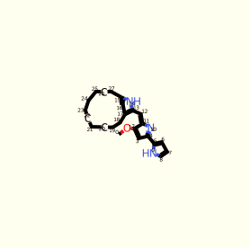 COC1=CC(c2ccc[nH]2)=NC1=Cc1[nH]c2cc1CCCCCCCCCC2